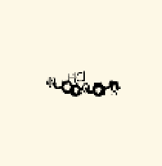 CN(C)CC1CCc2cc(OCc3ccc(-c4cccs4)cc3)ccc2C1.Cl